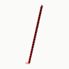 OCCOCCOCCOCCOCCOCCOCCOCCOCCOCCOCCOCCOCCOCCOCCOCCOCCOCCOCCOCCOCCOCCOCCOI